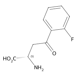 N[C@@H](CC(=O)c1ccccc1F)C(=O)O